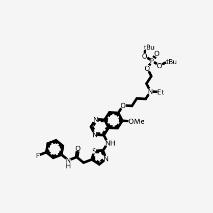 CCN(CCCOc1cc2ncnc(Nc3ncc(CC(=O)Nc4cccc(F)c4)s3)c2cc1OC)CCOP(=O)(OC(C)(C)C)OC(C)(C)C